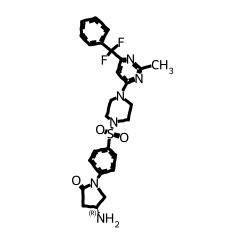 Cc1nc(N2CCN(S(=O)(=O)c3ccc(N4C[C@H](N)CC4=O)cc3)CC2)cc(C(F)(F)c2ccccc2)n1